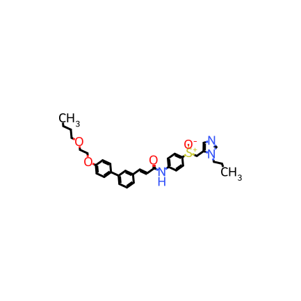 CCCCOCCOc1ccc(-c2cccc(/C=C/C(=O)Nc3ccc([S@@+]([O-])Cc4cncn4CCC)cc3)c2)cc1